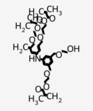 C=C(/C=C(\C=C\COCCCOC(=O)C(=C)C)Nc1cc(COCCO)cc(COCCOC(=O)C(=C)C)c1)COCCOC(=O)C(=C)C